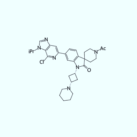 CC(=O)N1CCC2(CC1)C(=O)N([C@H]1C[C@@H](N3CCCCC3)C1)c1cc(-c3cc4ncn(C(C)C)c4c(Cl)n3)ccc12